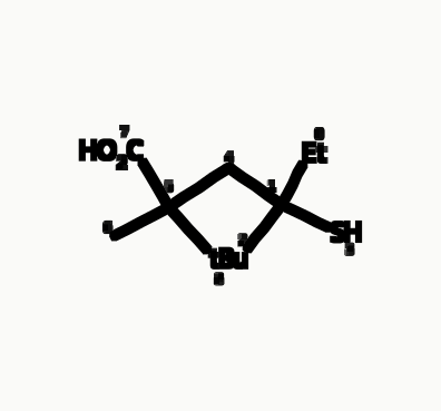 CCC(C)(S)CC(C)(C(=O)O)C(C)(C)C